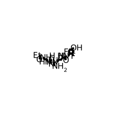 CCC(=O)NCCNC(=O)/N=C(/N)NCCC[C@@H](N)C(=O)NCc1c(F)cc(O)cc1F